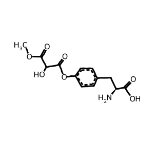 COC(=O)C(O)C(=O)Oc1ccc(C[C@H](N)C(=O)O)cc1